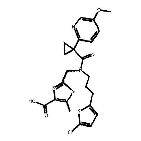 COc1ccc(C2(C(=O)N(CCCc3ccc(Cl)s3)Cc3nc(C(=O)O)c(C)s3)CC2)nc1